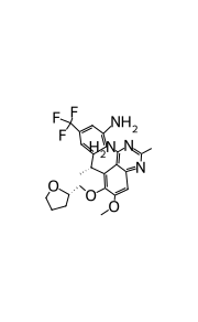 COc1cc2nc(C)nc(N)c2c([C@H](C)c2cc(N)cc(C(F)(F)F)c2)c1OC[C@@H]1CCCO1